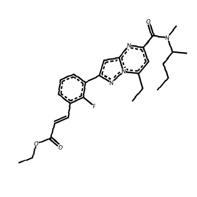 CCCC(C)N(C)C(=O)c1cc(CC)n2nc(-c3cccc(/C=C/C(=O)OCC)c3F)cc2n1